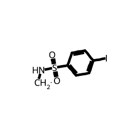 [CH2]NS(=O)(=O)c1ccc(I)cc1